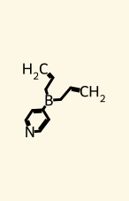 C=CCB(CC=C)c1ccncc1